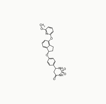 COc1cccc(Oc2cccc3c2CC[C@H]3Oc2ccc(C3CC(=O)NS(=O)(=O)N3)cc2)n1